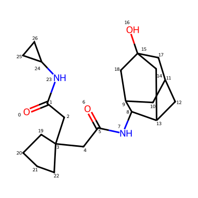 O=C(CC1(CC(=O)NC2C3CC4CC2CC(O)(C4)C3)CCCC1)NC1CC1